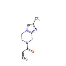 C=CC(=O)N1CCn2cc(C(F)(F)F)nc2C1